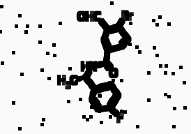 C[C@@H](NC(=O)c1ccc(Br)c(C=O)c1)c1ccc(F)cc1